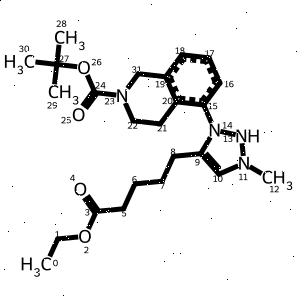 CCOC(=O)CCCCC1=CN(C)NN1c1cccc2c1CCN(C(=O)OC(C)(C)C)C2